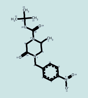 CC1CN(Cc2ccc([N+](=O)[O-])cc2)C(=O)CN1C(=O)OC(C)(C)C